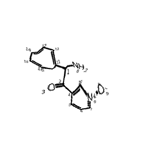 NC(C(=O)c1ccc[n+]([O-])c1)c1ccccc1